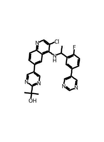 CC(Nc1c(Cl)cnc2ccc(-c3cnc(C(C)(C)O)nc3)cc12)c1cc(-c2cncnc2)ccc1F